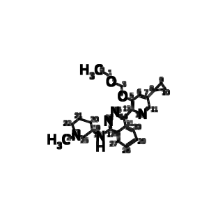 CCOCOc1cc(C2CC2)cnc1-c1nnc(NC2CCCN(C)C2)c2ccccc12